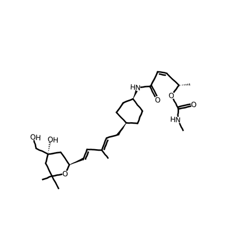 CNC(=O)O[C@@H](C)/C=C\C(=O)N[C@H]1CC[C@@H](C/C=C(C)/C=C/[C@@H]2C[C@](O)(CO)CC(C)(C)O2)CC1